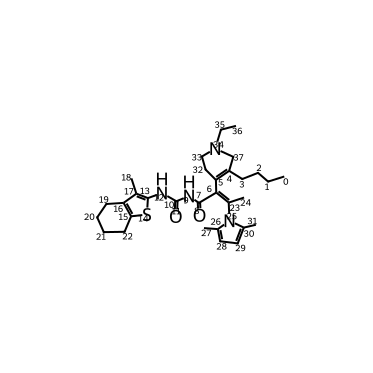 CCCCC1=C(/C(C(=O)NC(=O)Nc2sc3c(c2C)CCCC3)=C(\C)n2c(C)ccc2C)CCN(CC)C1